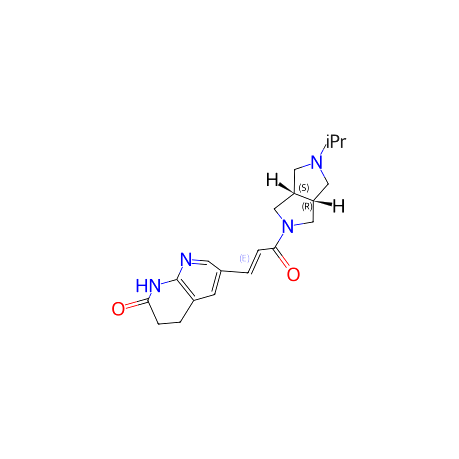 CC(C)N1C[C@H]2CN(C(=O)/C=C/c3cnc4c(c3)CCC(=O)N4)C[C@H]2C1